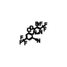 N#Cc1cc(C(F)(F)F)cc(Cl)c1-n1cnc(C(F)(F)F)c(Br)c1=O